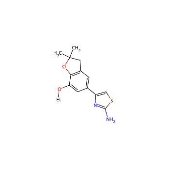 CCOc1cc(-c2csc(N)n2)cc2c1OC(C)(C)C2